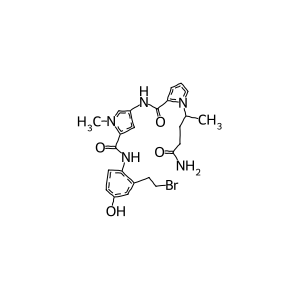 CC(CCC(N)=O)n1cccc1C(=O)Nc1cc(C(=O)Nc2ccc(O)cc2CCBr)n(C)c1